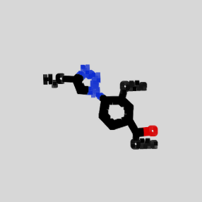 COC(=O)c1ccc(-n2cc(C)nn2)c(OC)c1